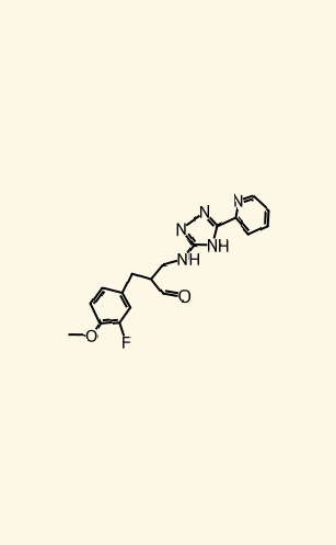 COc1ccc(CC(C=O)CNc2nnc(-c3ccccn3)[nH]2)cc1F